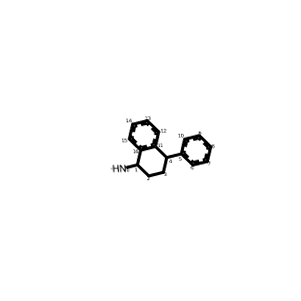 [NH]C1CCC(c2ccccc2)c2ccccc21